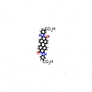 O=C(O)c1ccc2c(c1)nc1c3ccc4c5ccc6c(=O)n7c8cc(C(=O)O)ccc8nc7c7ccc(c8ccc(c(=O)n21)c3c48)c5c67